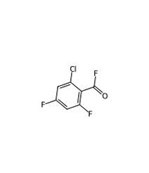 O=C(F)c1c(F)cc(F)cc1Cl